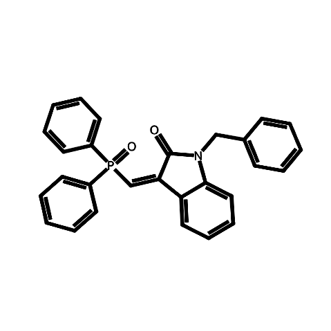 O=C1C(=CP(=O)(c2ccccc2)c2ccccc2)c2ccccc2N1Cc1ccccc1